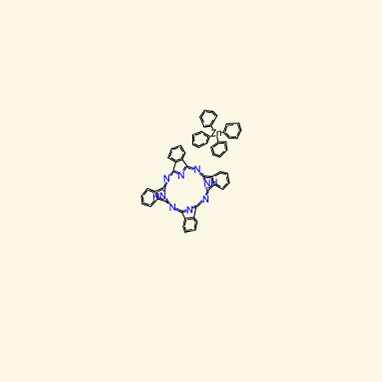 c1cc[c]([Zn]([c]2ccccc2)([c]2ccccc2)[c]2ccccc2)cc1.c1ccc2c(c1)-c1nc-2nc2[nH]c(nc3nc(nc4[nH]c(n1)c1ccccc41)-c1ccccc1-3)c1ccccc21